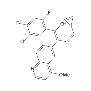 COc1ccnc2ccc(C(/C=C\C3C=C3)=C(/C)c3cc(Cl)c(F)cc3F)cc12